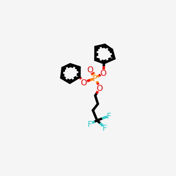 O=P(OCCCC(F)(F)F)(Oc1ccccc1)Oc1ccccc1